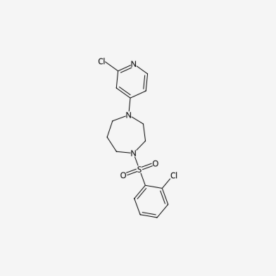 O=S(=O)(c1ccccc1Cl)N1CCCN(c2ccnc(Cl)c2)CC1